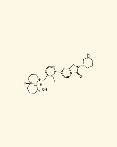 O=C1c2ccc(-c3nccc(CN4CCC[C@H]5CCC[C@@H](O)[C@@H]54)c3F)cc2CN1C1CCCNC1